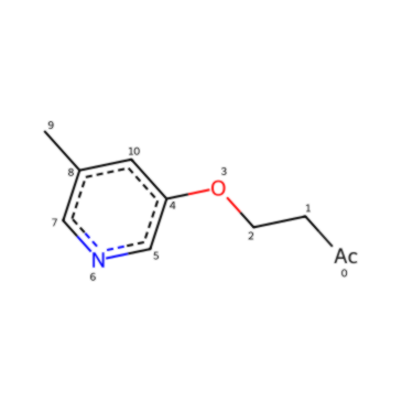 CC(=O)CCOc1cncc(C)c1